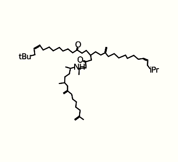 C=C(C)CCCCCC(=C)CC(C)CCC(C)NC(C)CC(=O)CC(CCC(=C)CCCCCCC/C=C\CC(C)C)CCC(=O)CCCCCCC/C=C\CC(C)(C)C